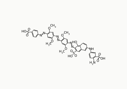 COc1cc(N=Nc2cc(OC)c(N=Nc3c(S(=O)(=O)O)cc4cc(Nc5ccc(N)c(S(=O)(=O)O)c5)ccc4c3O)cc2OC)c(OC)cc1N=Nc1ccc(S(=O)(=O)O)cc1